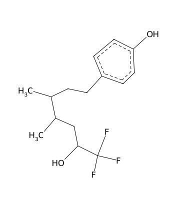 CC(CCc1ccc(O)cc1)C(C)CC(O)C(F)(F)F